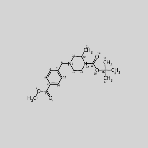 COC(=O)c1ccc(CN2CCN(C(=O)OC(C)(C)C)C(C)C2)cc1